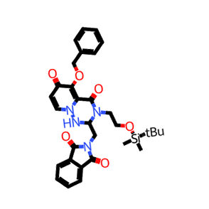 CC(C)(C)[Si](C)(C)OCCN1C(=O)c2c(OCc3ccccc3)c(=O)ccn2NC1CN1C(=O)c2ccccc2C1=O